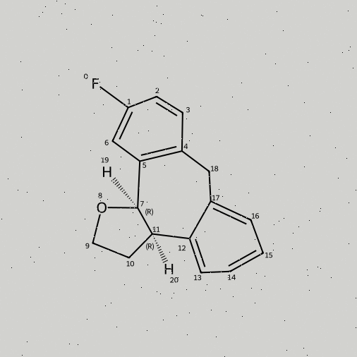 Fc1ccc2c(c1)[C@@H]1OCC[C@@H]1c1ccccc1C2